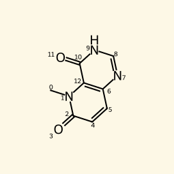 Cn1c(=O)ccc2nc[nH]c(=O)c21